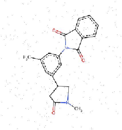 CN1CC(c2cc(N3C(=O)c4ccccc4C3=O)cc(C(F)(F)F)c2)CC1=O